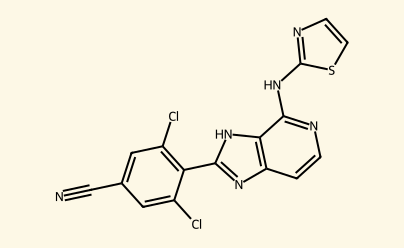 N#Cc1cc(Cl)c(-c2nc3ccnc(Nc4nccs4)c3[nH]2)c(Cl)c1